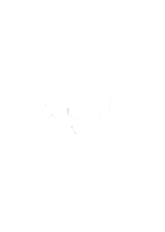 CCCCC(CC)COC1=C(O)[C@@H]([C@@H](O)CO)OC1=O